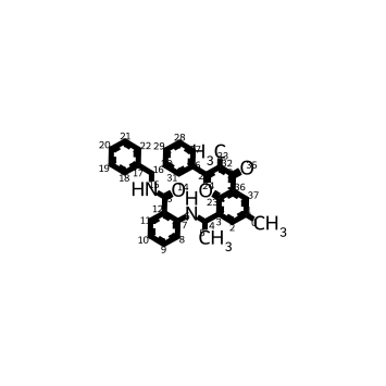 Cc1cc(C(C)Nc2ccccc2C(=O)NCc2ccccc2)c2oc(-c3ccccc3)c(C)c(=O)c2c1